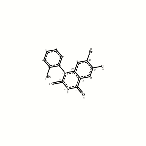 CCC(C)c1ccccc1-n1c(=O)[nH]c(=O)c2cc(Cl)c(Br)cc21